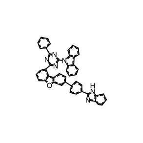 c1ccc(-c2nc(-c3cccc4oc5cc(-c6ccc(-c7nc8ccccc8[nH]7)cc6)ccc5c34)nc(-n3c4ccccc4c4ccccc43)n2)cc1